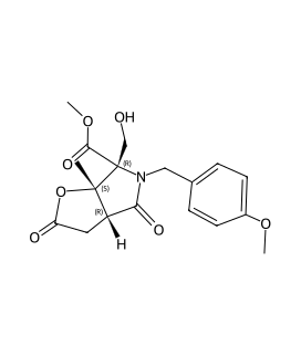 COC(=O)[C@]1(CO)N(Cc2ccc(OC)cc2)C(=O)[C@@H]2CC(=O)O[C@@]21C